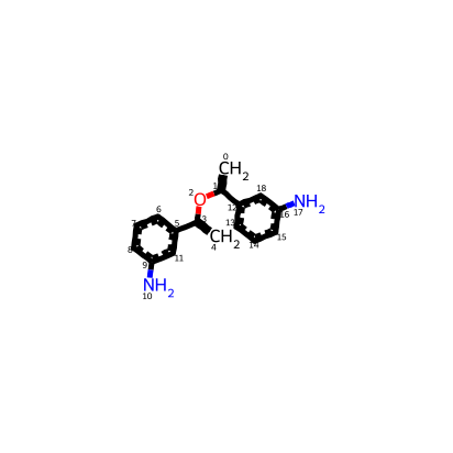 C=C(OC(=C)c1cccc(N)c1)c1cccc(N)c1